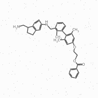 Cc1cc(OCCOC(=O)c2ccccc2)cc(C)c1-c1cccc(CNc2ccc3c(c2)CCC3CN)c1C